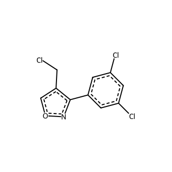 ClCc1conc1-c1cc(Cl)cc(Cl)c1